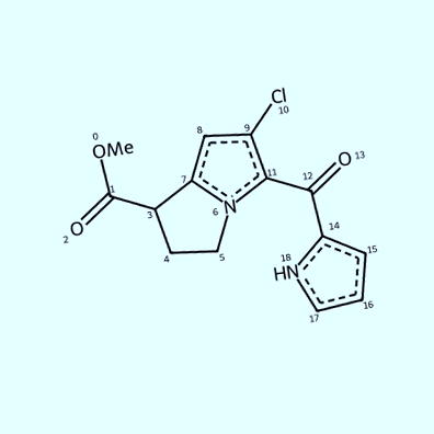 COC(=O)C1CCn2c1cc(Cl)c2C(=O)c1ccc[nH]1